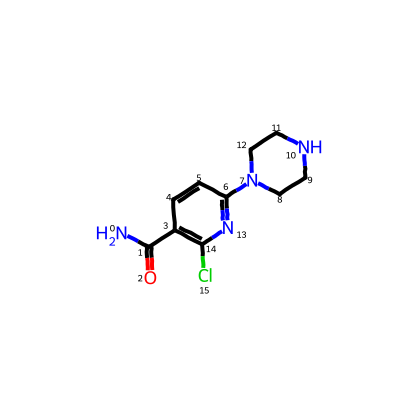 NC(=O)c1ccc(N2CCNCC2)nc1Cl